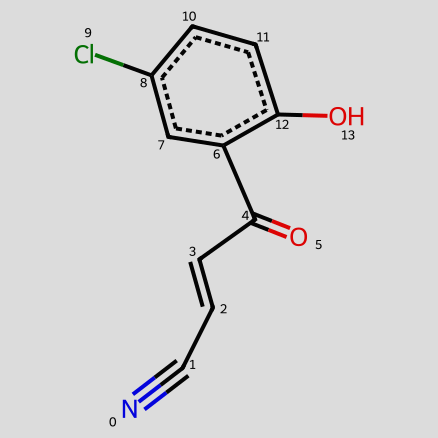 N#C/C=C/C(=O)c1cc(Cl)ccc1O